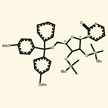 COc1ccc(C(OC[C@H]2O[C@@H](n3cccnc3=O)C(O[Si](C)(C)C(C)(C)C)C2O[Si](C)(C)C(C)(C)C)(c2ccccc2)c2ccc(OC)cc2)cc1